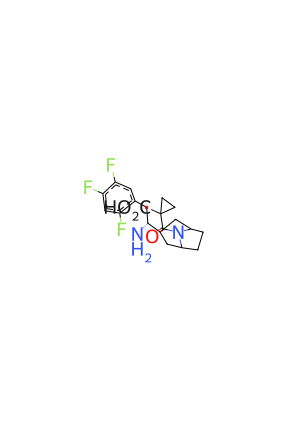 N[C@H](Cc1cc(F)c(F)cc1F)C1CC2CCC(C1)N2C(=O)C1(C(=O)O)CC1